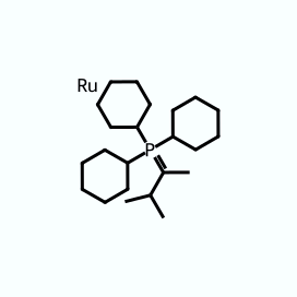 CC(C(C)C)=P(C1CCCCC1)(C1CCCCC1)C1CCCCC1.[Ru]